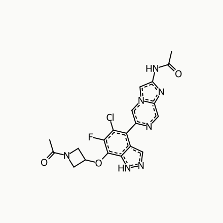 CC(=O)Nc1cn2cc(-c3c(Cl)c(F)c(OC4CN(C(C)=O)C4)c4[nH]ncc34)ncc2n1